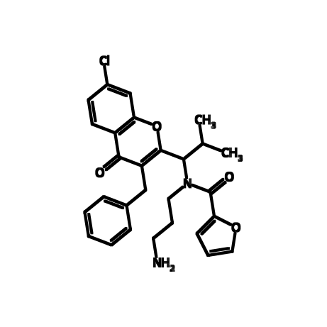 CC(C)C(c1oc2cc(Cl)ccc2c(=O)c1Cc1ccccc1)N(CCCN)C(=O)c1ccco1